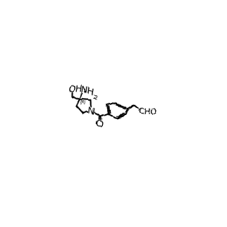 N[C@]1(CO)CCN(C(=O)c2ccc(CC=O)cc2)C1